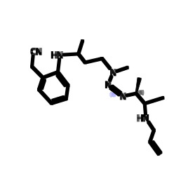 C=CCNC(C)[C@H](C)/N=N\N(C)CCC(C)Nc1ccccc1CC#N